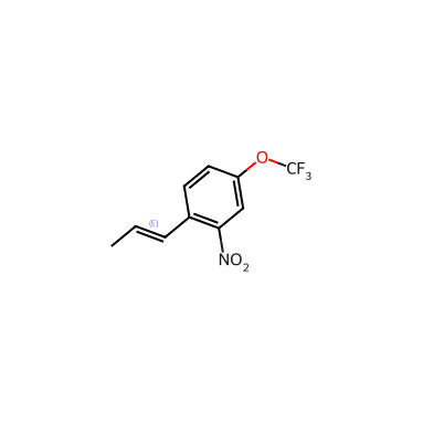 C/C=C/c1ccc(OC(F)(F)F)cc1[N+](=O)[O-]